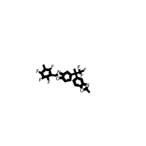 Cc1nc2cc(C(C)(c3ccc4oc(-c5c(F)c(C)c(F)c(F)c5F)nc4c3)C(F)(F)F)ccc2o1